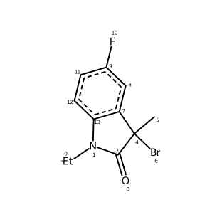 C[CH]N1C(=O)C(C)(Br)c2cc(F)ccc21